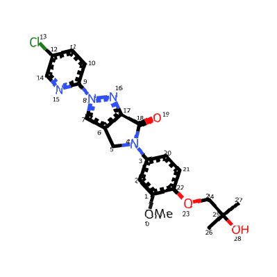 COc1cc(N2Cc3cn(-c4ccc(Cl)cn4)nc3C2=O)ccc1OCC(C)(C)O